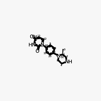 C[C@H]1CNCCN1c1ccc(-n2ccc(=O)[nH]c2=O)cc1